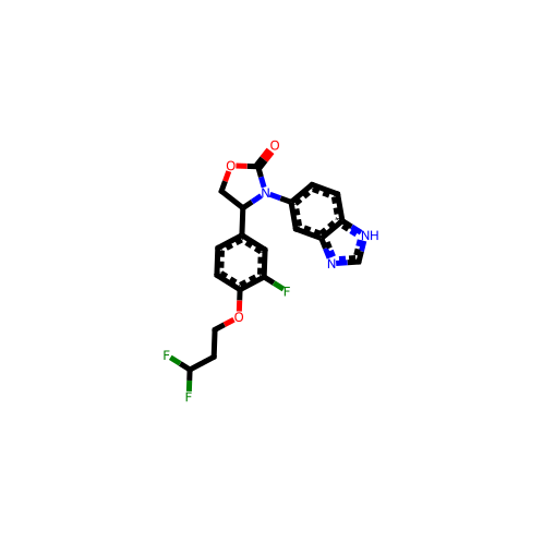 O=C1OCC(c2ccc(OCCC(F)F)c(F)c2)N1c1ccc2[nH]cnc2c1